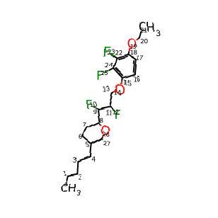 CCCCCC1CCC(C(F)C(F)COc2ccc(OCC)c(F)c2F)OC1